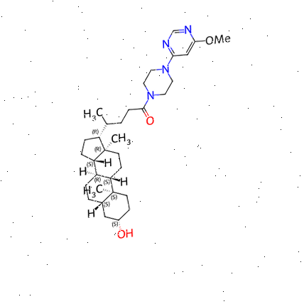 COc1cc(N2CCN(C(=O)CCC(C)[C@H]3CC[C@H]4[C@@H]5CC[C@H]6C[C@@H](O)CC[C@]6(C)[C@H]5CC[C@]34C)CC2)ncn1